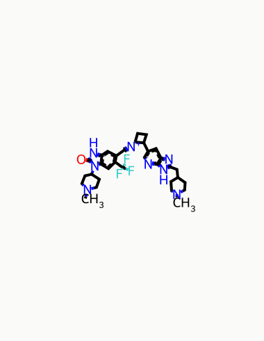 CN1CCC(Cc2nc3cc(C4CCC4[N+]#Cc4cc5[nH]c(=O)n(C6CCN(C)CC6)c5cc4C(F)(F)F)cnc3[nH]2)CC1